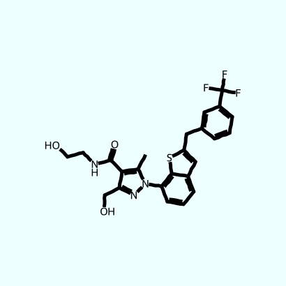 Cc1c(C(=O)NCCO)c(CO)nn1-c1cccc2cc(Cc3cccc(C(F)(F)F)c3)sc12